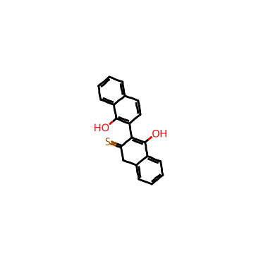 OC1=C(c2ccc3ccccc3c2O)C(=S)Cc2ccccc21